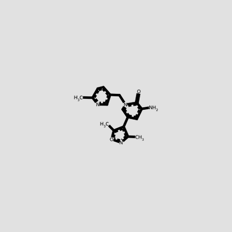 Cc1ccc(Cn2cc(-c3c(C)noc3C)cc(N)c2=O)cn1